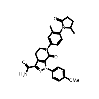 COc1ccc(-n2nc(C(N)=O)c3c2C(=O)N(c2ccc(N4C(=O)CCC4C)c(C)c2)CC3)cc1